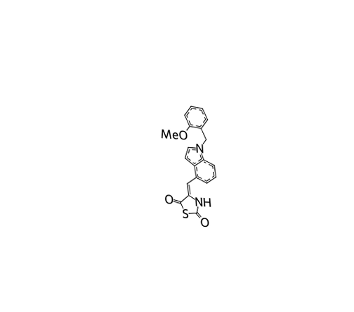 COc1ccccc1Cn1ccc2c(C=C3NC(=O)SC3=O)cccc21